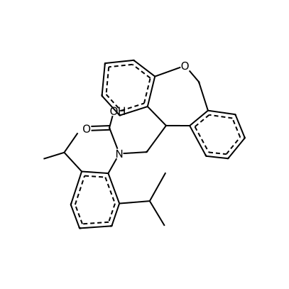 CC(C)c1cccc(C(C)C)c1N(CC1c2ccccc2COc2ccccc21)C(=O)O